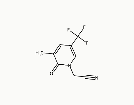 Cc1cc(C(F)(F)F)cn(CC#N)c1=O